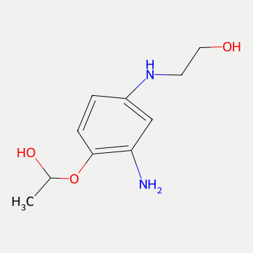 CC(O)Oc1ccc(NCCO)cc1N